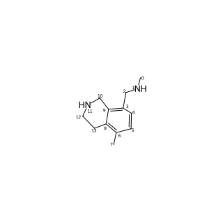 CNCc1ccc(C)c2c1CNCC2